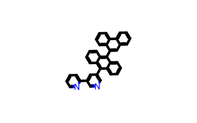 c1ccc(-c2cncc(-c3c4ccccc4c(-c4cc5ccccc5c5ccccc45)c4ccccc34)c2)nc1